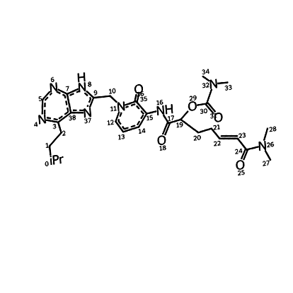 CC(C)CCc1ncnc2[nH]c(Cn3cccc(NC(=O)C(CCC=CC(=O)N(C)C)OC(=O)N(C)C)c3=O)nc12